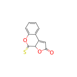 O=C1C=C2c3ccccc3OC(=S)C2O1